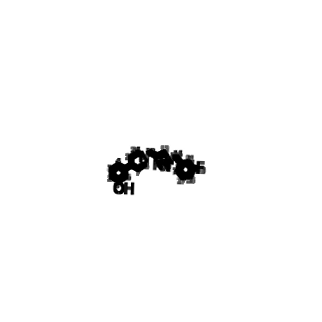 Oc1cccc(C2CCN(Cc3cn(Cc4cccc(F)c4)nn3)CC2)c1